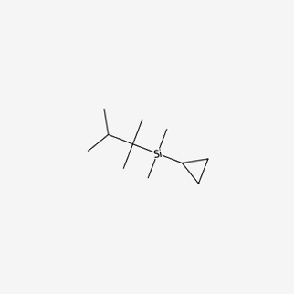 CC(C)C(C)(C)[Si](C)(C)C1CC1